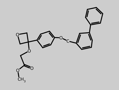 COC(=O)COC1(c2ccc(OCc3cccc(-c4ccccc4)c3)cc2)COC1